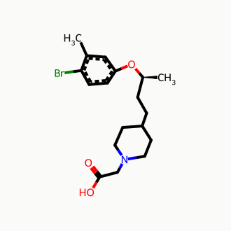 Cc1cc(O[C@@H](C)CCC2CCN(CC(=O)O)CC2)ccc1Br